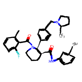 Cc1cccc(F)c1C(=O)N1CCC[C@H](C(=O)Nc2cccc(C(C)(C)C)c2)[C@@H]1c1ccc(CN2CCCC2C(F)(F)F)cc1